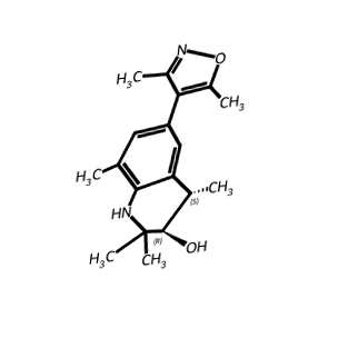 Cc1cc(-c2c(C)noc2C)cc2c1NC(C)(C)[C@H](O)[C@H]2C